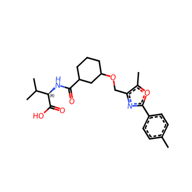 Cc1ccc(-c2nc(COC3CCCC(C(=O)N[C@@H](C(=O)O)C(C)C)C3)c(C)o2)cc1